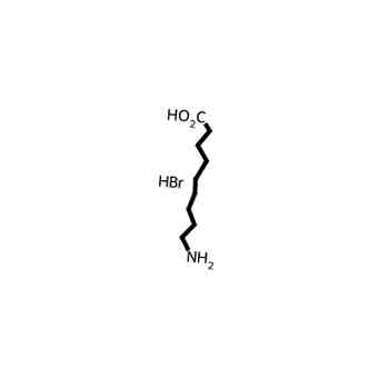 Br.NCCCCCCCCC(=O)O